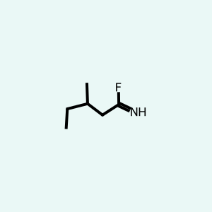 CCC(C)CC(=N)F